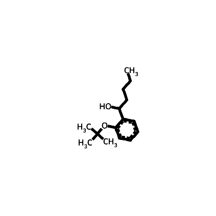 CCCCC(O)c1ccccc1OC(C)(C)C